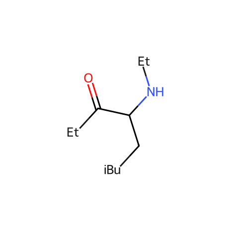 CCNC(CC(C)CC)C(=O)CC